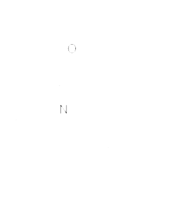 O=C1CCCN1c1[c]cccc1